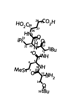 CC[C@H](C)[C@H](NC(=O)[C@H](CCSC)NC(=O)[C@@H](N)COC(C)(C)C)C(=O)N[C@@H](CC(C)C)C(=O)N[C@@H](CCC(=O)O)C(=O)O